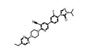 CCc1cnc(N2CCN(c3ncc(-c4ccc(-n5cnn(C(C)C)c5=O)c(F)c4)cc3C#N)CC2)nc1